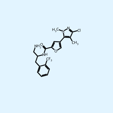 Cc1c(Cl)nn(C)c1-c1coc(C(=O)NC(CN)Cc2ccccc2C(F)(F)F)c1